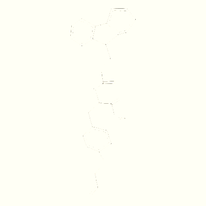 C=CCOc1ccc(CC(NC(=O)OCC2c3ccccc3-c3ccccc32)C(=O)OC)cc1